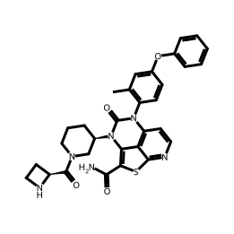 Cc1cc(Oc2ccccc2)ccc1N1C(=O)N([C@@H]2CCCN(C(=O)[C@@H]3CCN3)C2)c2c(C(N)=O)sc3nccc1c23